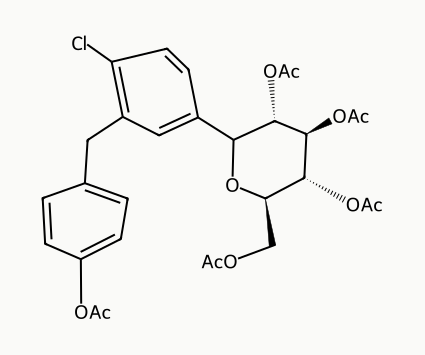 CC(=O)OC[C@H]1OC(c2ccc(Cl)c(Cc3ccc(OC(C)=O)cc3)c2)[C@H](OC(C)=O)[C@@H](OC(C)=O)[C@@H]1OC(C)=O